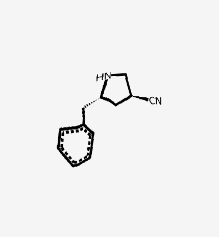 N#C[C@@H]1CN[C@@H](Cc2ccccc2)C1